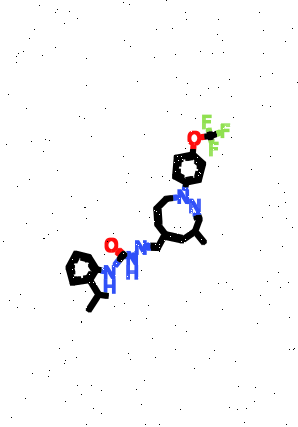 CC1/C=N\N(c2ccc(OC(F)(F)F)cc2)C\C=C/C(/C=N/NC(=O)Nc2ccccc2C(C)C)=C\1